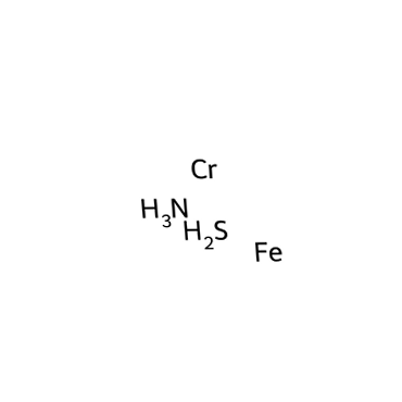 N.S.[Cr].[Fe]